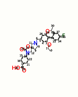 CCOc1cc(CN2CCC3(C2)CN(c2ccc(C(=O)O)cc2)C(=O)O3)cc(OCC)c1-c1ccc(F)cc1